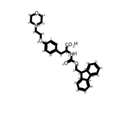 O=C(NC(Cc1ccc(OCCN2CCOCC2)cc1)C(=O)O)OCC1c2ccccc2-c2ccccc21